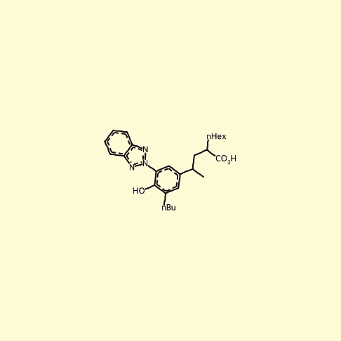 CCCCCCC(CC(C)c1cc(CCCC)c(O)c(-n2nc3ccccc3n2)c1)C(=O)O